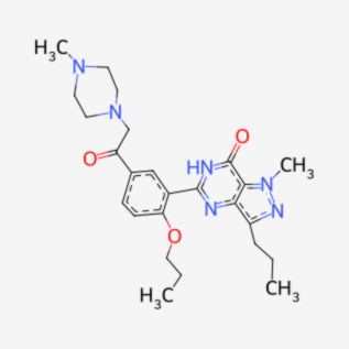 CCCOc1ccc(C(=O)CN2CCN(C)CC2)cc1-c1nc2c(CCC)nn(C)c2c(=O)[nH]1